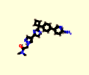 CN(C)C(=O)Cn1cc(C2=NC(C3(c4ccc(-c5ccc(N)nc5)cc4)CCC3)=NC2)cn1